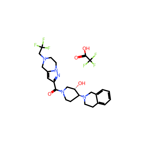 O=C(O)C(F)(F)F.O=C(c1cc2n(n1)CCN(CC(F)(F)F)C2)N1CC[C@H](N2CCc3ccccc3C2)[C@@H](O)C1